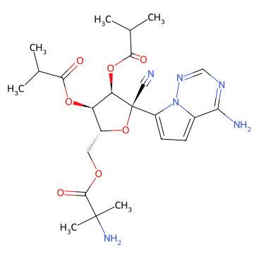 CC(C)C(=O)O[C@H]1[C@@H](OC(=O)C(C)C)[C@](C#N)(c2ccc3c(N)ncnn23)O[C@@H]1COC(=O)C(C)(C)N